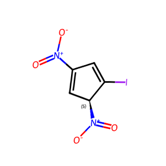 O=[N+]([O-])C1=C[C@H]([N+](=O)[O-])C(I)=C1